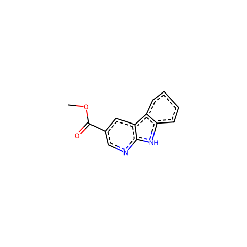 COC(=O)c1cnc2[nH]c3ccccc3c2c1